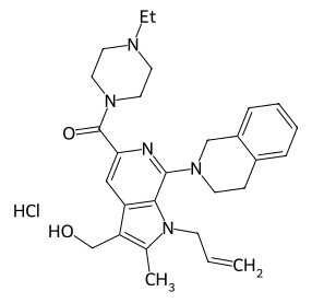 C=CCn1c(C)c(CO)c2cc(C(=O)N3CCN(CC)CC3)nc(N3CCc4ccccc4C3)c21.Cl